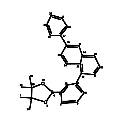 CC1(C)OB(c2cccc(-c3cccc4cc(-c5ccccc5)ccc34)c2)OC1(C)C